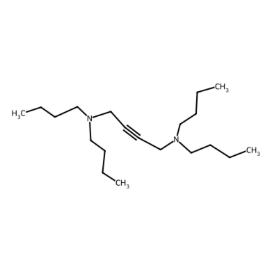 CCCCN(CC#CCN(CCCC)CCCC)CCCC